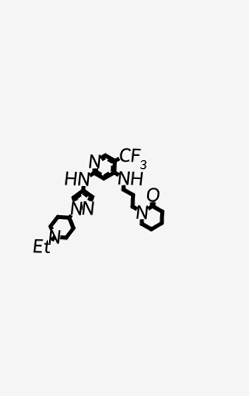 CCN1CCC(n2cc(Nc3cc(NCCCN4CCCCC4=O)c(C(F)(F)F)cn3)cn2)CC1